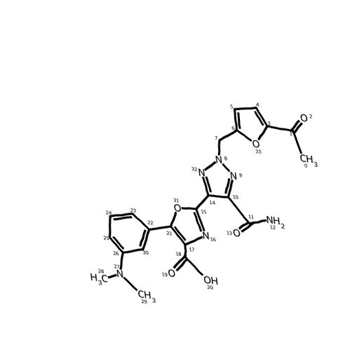 CC(=O)c1ccc(Cn2nc(C(N)=O)c(-c3nc(C(=O)O)c(-c4cccc(N(C)C)c4)o3)n2)o1